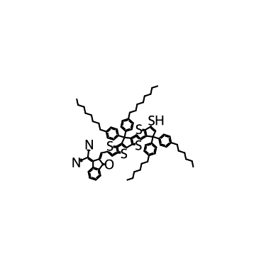 CCCCCCCCc1ccc(C2(c3ccc(CCCCCCCC)cc3)c3c(sc4cc(/C=C5\C(=O)c6ccccc6C5=C(C#N)C#N)sc34)-c3sc4c5c(sc4c32)C(S)=CC5(c2ccc(CCCCCC)cc2)c2ccc(CCCCCC)cc2)cc1